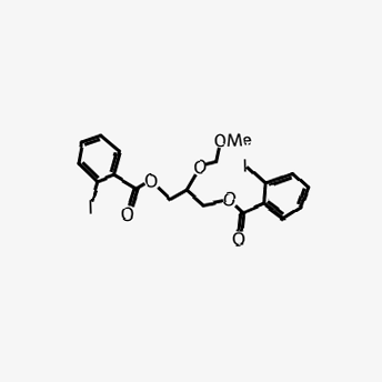 COCOC(COC(=O)c1ccccc1I)COC(=O)c1ccccc1I